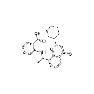 C[C@@H](Nc1ccccc1C(=O)O)c1cccc2c(=O)cc(C3CCCCC3)oc12